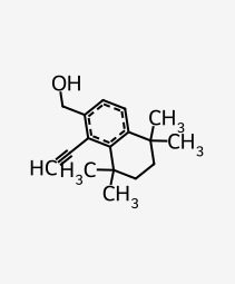 C#Cc1c(CO)ccc2c1C(C)(C)CCC2(C)C